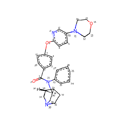 O=C(c1ccc(Oc2ccc(N3CCOCC3)cn2)cc1)N(c1ccccc1)[C@H]1CN2CCC1CC2